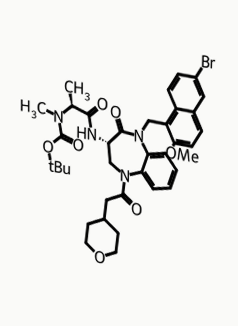 COc1ccc2cc(Br)ccc2c1CN1C(=O)[C@@H](NC(=O)[C@H](C)N(C)C(=O)OC(C)(C)C)CN(C(=O)CC2CCOCC2)c2ccccc21